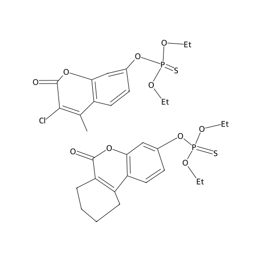 CCOP(=S)(OCC)Oc1ccc2c(C)c(Cl)c(=O)oc2c1.CCOP(=S)(OCC)Oc1ccc2c3c(c(=O)oc2c1)CCCC3